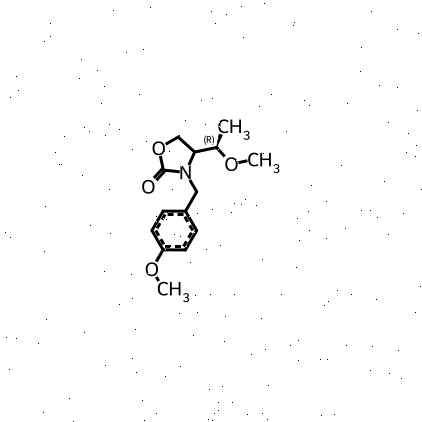 COc1ccc(CN2C(=O)OCC2[C@@H](C)OC)cc1